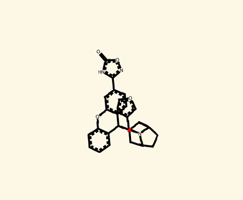 O=c1[nH]c(-c2ccc3c(c2)Oc2ccccc2C3C2CC3CCC(C2)N3Cc2ccoc2)no1